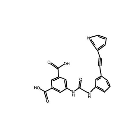 O=C(Nc1cccc(C#Cc2cccnc2)c1)Nc1cc(C(=O)O)cc(C(=O)O)c1